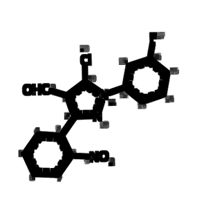 O=Cc1c(-c2ccccc2[N+](=O)[O-])nn(-c2cccc(F)c2)c1Cl